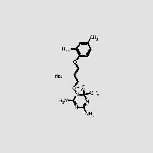 Br.Cc1ccc(OCCCON2C(N)=NC(N)=NC2(C)C)c(C)c1